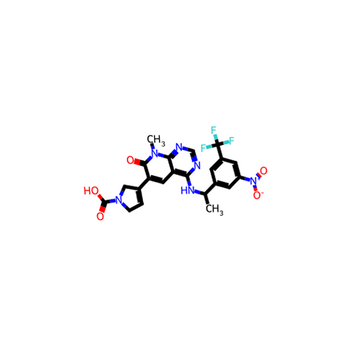 CC(Nc1ncnc2c1cc(C1=CCN(C(=O)O)C1)c(=O)n2C)c1cc([N+](=O)[O-])cc(C(F)(F)F)c1